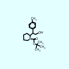 Cc1ccc(C(CO)C2CCCCN2C(=O)OC(C)(C)C)cc1